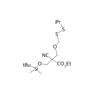 CCOC(=O)C(C#N)(COCSSC(C)C)CO[Si](C)(C)C(C)(C)C